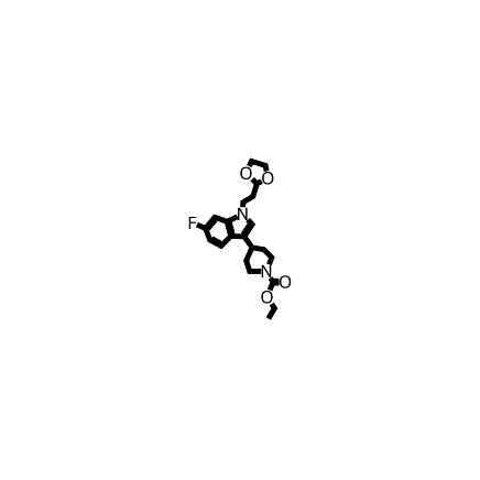 CCOC(=O)N1CCC(c2cn(CCC3OCCO3)c3cc(F)ccc23)CC1